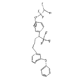 FC(F)C(F)(F)Oc1ccc(C(CCCc2cccc(Oc3ccccc3)c2)C(F)(F)F)cc1